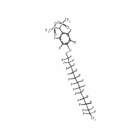 O=S(=O)(C(c1c(F)c(F)c(OCC(F)(F)C(F)(F)C(F)(F)C(F)(F)C(F)(F)C(F)(F)C(F)(F)C(F)(F)C(F)(F)C(F)(F)C(F)(F)C(F)(F)C(F)(F)F)c(F)c1F)S(=O)(=O)C(F)(F)F)C(F)(F)F